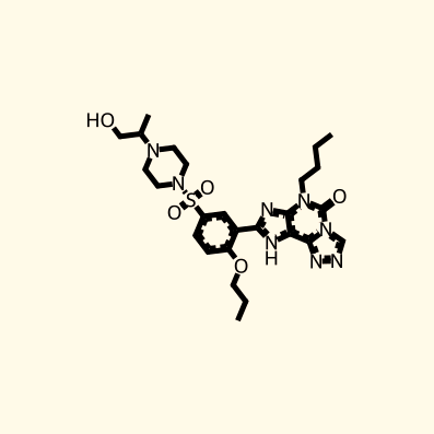 CCCCn1c(=O)n2cnnc2c2[nH]c(-c3cc(S(=O)(=O)N4CCN(C(C)CO)CC4)ccc3OCCC)nc21